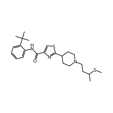 CSC(C)CCN1CCC(c2nc(C(=O)Nc3ccccc3C(C)(C)C)cs2)CC1